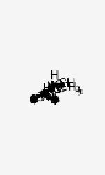 CC(C)(C)OC(=O)Nc1ccc(-c2ccc(OCc3ccccc3)nc2OCc2ccccc2)cn1